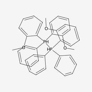 COc1ccccc1[PH](c1ccccc1)(c1ccccc1)[PH](c1ccccc1)(c1ccccc1OC)c1ccccc1OC